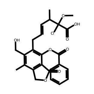 COC(Cl)(C(=O)O)C(C)/C=C/Cc1c(CO)c(C)c2c(c1OC(=O)c1ccccc1)C(=O)OC2